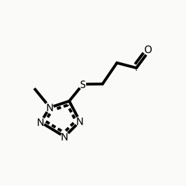 Cn1nnnc1SCC[C]=O